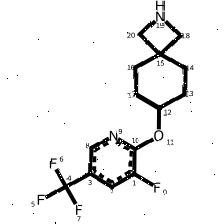 Fc1cc(C(F)(F)F)cnc1OC1CCC2(CC1)CNC2